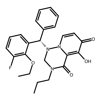 CCCN1CN([C@@H](c2ccccc2)c2cccc(F)c2OCC)n2ccc(=O)c(O)c2C1=O